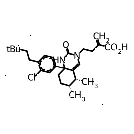 C=C(CCN1C=C2[C@H](C)[C@H](C)CCC2(c2ccc(CCC(C)(C)C)c(Cl)c2)NC1=O)C(=O)O